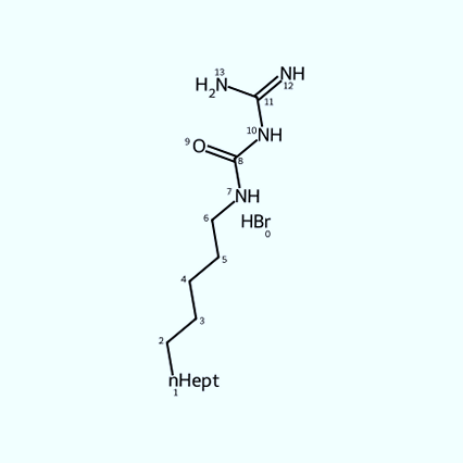 Br.CCCCCCCCCCCCNC(=O)NC(=N)N